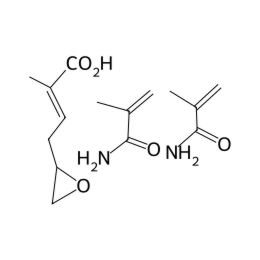 C=C(C)C(N)=O.C=C(C)C(N)=O.CC(=CCC1CO1)C(=O)O